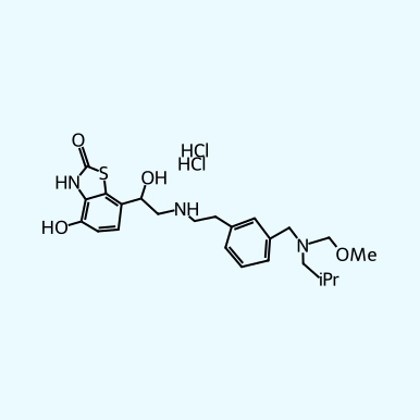 COCN(Cc1cccc(CCNCC(O)c2ccc(O)c3[nH]c(=O)sc23)c1)CC(C)C.Cl.Cl